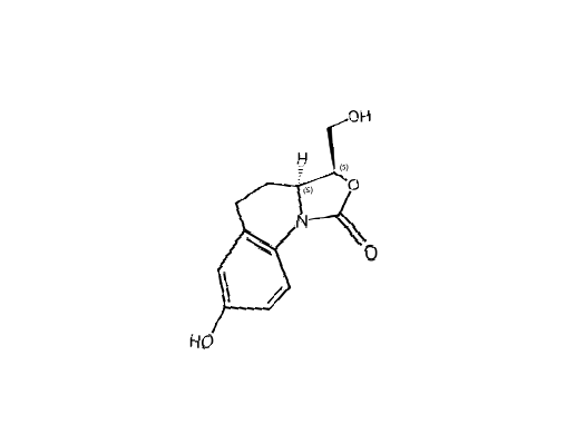 O=C1O[C@H](CO)[C@@H]2CCc3cc(O)ccc3N12